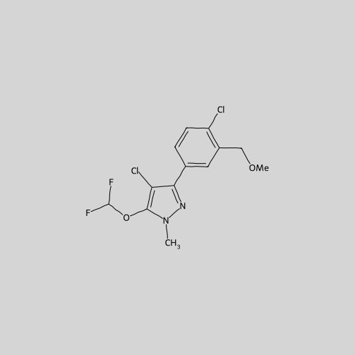 COCc1cc(-c2nn(C)c(OC(F)F)c2Cl)ccc1Cl